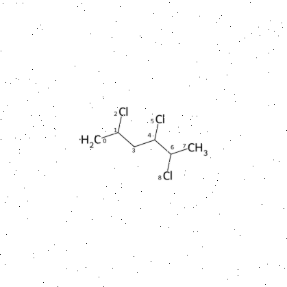 [CH2]C(Cl)CC(Cl)C(C)Cl